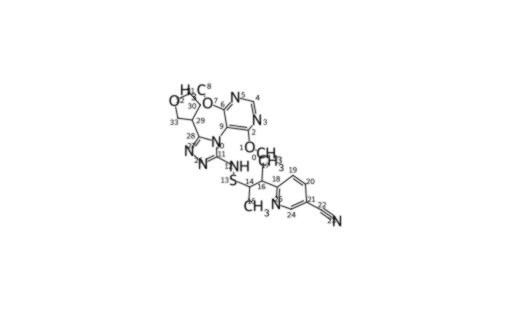 COc1ncnc(OC)c1-n1c(NSC(C)C(C)c2ccc(C#N)cn2)nnc1C1CCOC1